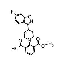 COC(=O)c1cccc(C(=O)O)c1N1CCC(c2noc3cc(F)ccc23)CC1